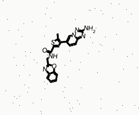 Cc1sc(C(=O)NCc2nc3ccccc3o2)cc1-c1ccc2nc(N)nn2c1